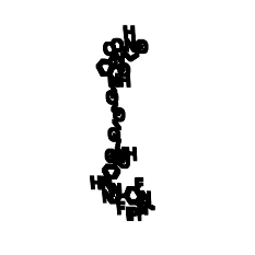 Cc1nc2c(F)cc(-c3nc(Nc4ccc(S(=O)(=O)NCCOCCOCCOCCNc5cccc6c5C(=O)N(C5CCC(=O)NC5=O)C6=O)cc4)ncc3F)cc2n1C(C)C